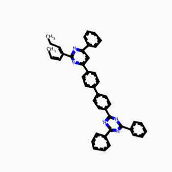 C/C=C\C(=C/CC)c1nc(-c2ccccc2)cc(-c2ccc(-c3ccc(-c4nc(-c5ccccc5)nc(-c5ccccc5)n4)cc3)cc2)n1